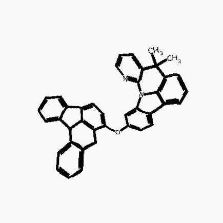 CC1(C)c2cccnc2-n2c3cc(Oc4ccc5c6c4Cc4ccccc4C6c4ccccc4-5)ccc3c3cccc1c32